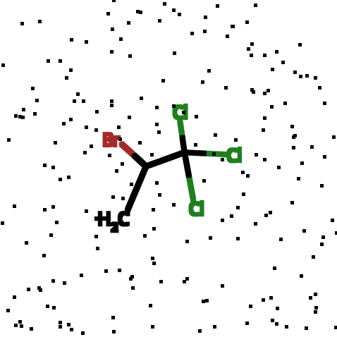 [CH2]C(Br)C(Cl)(Cl)Cl